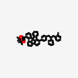 Cc1ccccc1CC(Cc1ccc(-c2cccc3c2-c2ccccc2C32c3ccccc3-c3c(B4OC(C)(C)C(C)(C)O4)cccc32)cc1)c1ccccc1